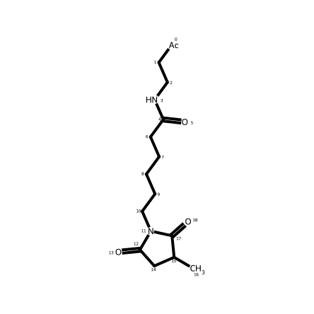 CC(=O)CCNC(=O)CCCCCN1C(=O)CC(C)C1=O